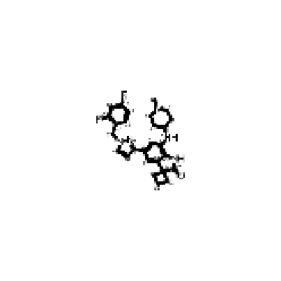 CN1CCC(Nc2cc(-c3ccn(Cc4ccc(F)cc4F)n3)cc3c2NC(=O)C32CCC2)CC1